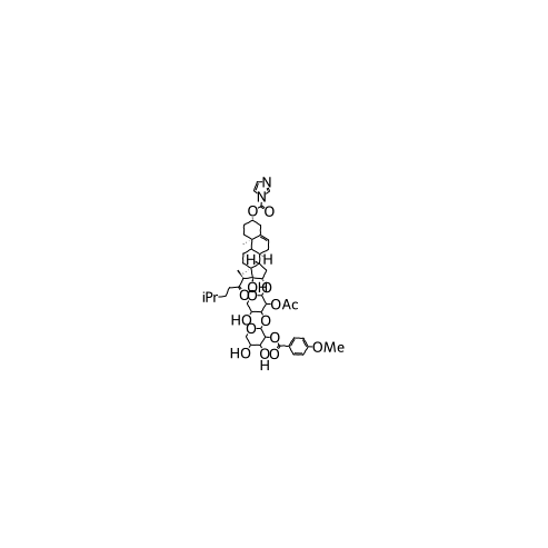 COc1ccc(C(=O)OC2C(OC3C(O)COC(O[C@H]4C[C@H]5[C@@H]6CC=C7C[C@@H](OC(=O)n8ccnc8)CC[C@]7(C)C6CC[C@]5(C)[C@@]4(O)[C@H](C)C(=O)CCC(C)C)C3OC(C)=O)OCC(O)C2O)cc1